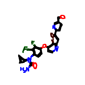 NC(=O)N(c1ccc(Oc2ccnc3cc(-c4ccc(C=O)cn4)sc23)c(F)c1F)C1CC1